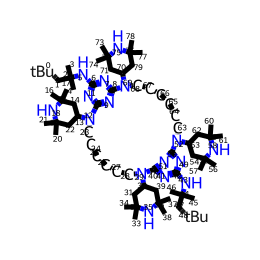 CC(C)(C)CC(C)(C)Nc1nc2nc(n1)N(C1CC(C)(C)NC(C)(C)C1)CCCCCCN(C1CC(C)(C)NC(C)(C)C1)c1nc(NC(C)(C)CC(C)(C)C)nc(n1)N(C1CC(C)(C)NC(C)(C)C1)CCCCCCN2C1CC(C)(C)NC(C)(C)C1